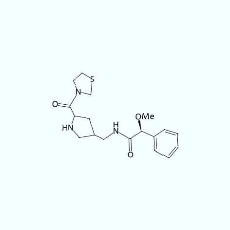 CO[C@H](C(=O)NCC1CNC(C(=O)N2CCSC2)C1)c1ccccc1